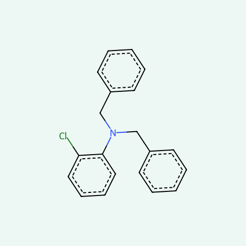 Clc1ccccc1N(Cc1ccccc1)Cc1ccccc1